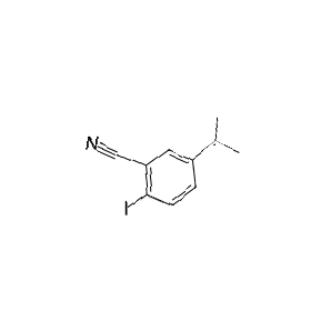 C[C](C)c1ccc(I)c(C#N)c1